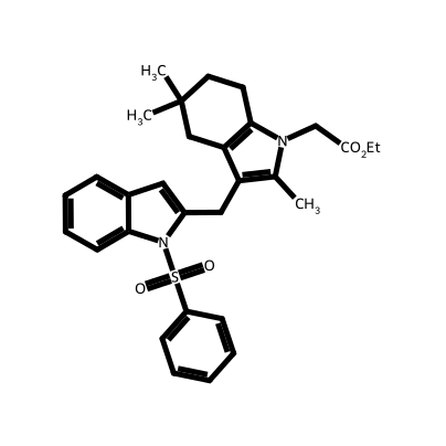 CCOC(=O)Cn1c(C)c(Cc2cc3ccccc3n2S(=O)(=O)c2ccccc2)c2c1CCC(C)(C)C2